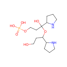 O=P(O)(O)OCCC(O)(OC(CCO)C1CCCN1)C1CCCN1